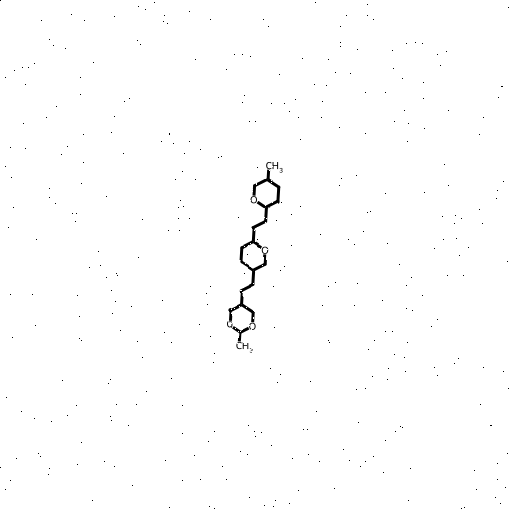 CC1CCC(CCC2CCC(CCC3COC(C)OC3)CO2)OC1